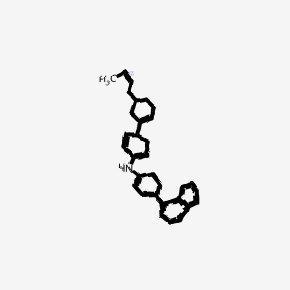 C/C=C\CC1CCC=C(C2C=CC(NC3=CC=C(c4cccc5ccccc45)CC3)=CC2)C1